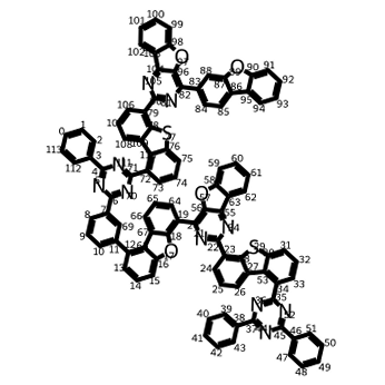 c1ccc(-c2nc(-c3cccc(-c4cccc5oc6c(-c7nc(-c8cccc9c8sc8cccc(-c%10nc(-c%11ccccc%11)nc(-c%11ccccc%11)n%10)c89)nc8c7oc7ccccc78)cccc6c45)c3)nc(-c3cccc4sc5c(-c6nc(-c7ccc8c(c7)oc7ccccc78)c7oc8ccccc8c7n6)cccc5c34)n2)cc1